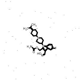 CC(C)=C1CCC(N2CCC(n3c(COC(N)=O)c(/C=N\O)c4cc(F)ccc43)CC2)CC1